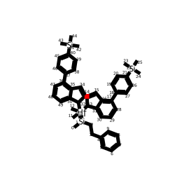 C[Si](CCc1ccccc1)=[Hf]([CH3])([CH3])([CH]1C=Cc2c(-c3ccc([Si](C)(C)C)cc3)cccc21)[CH]1C=Cc2c(-c3ccc([Si](C)(C)C)cc3)cccc21